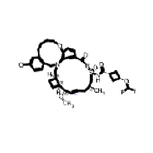 CO[C@H]1/C=C/C[C@H](C)CS(=O)(NC(=O)[C@H]2C[C@@H](OC(F)F)C2)=NC(=O)c2ccc3c(c2)N(Cc2ccc(Cl)cc2CCCCO3)C[C@@H]2CC[C@H]21